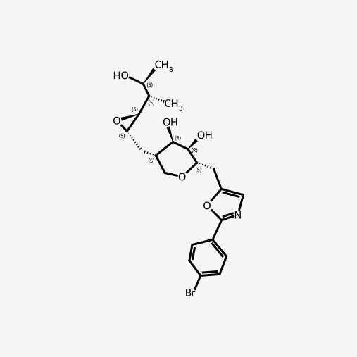 C[C@H]([C@@H]1O[C@H]1C[C@H]1CO[C@@H](Cc2cnc(-c3ccc(Br)cc3)o2)[C@H](O)[C@@H]1O)[C@H](C)O